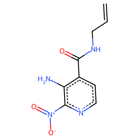 C=CCNC(=O)c1ccnc([N+](=O)[O-])c1N